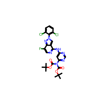 CC(C)(C)OC(=O)N(C(=O)OC(C)(C)C)c1cc(Nc2ncc(F)c3nn(-c4c(Cl)cccc4Cl)cc23)ncn1